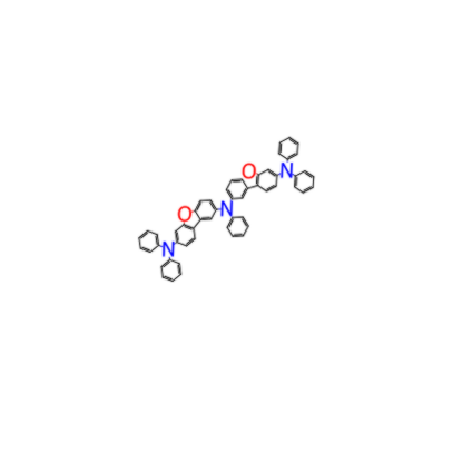 c1ccc(N(c2ccccc2)c2ccc3c(c2)oc2ccc(N(c4ccccc4)c4ccc5oc6cc(N(c7ccccc7)c7ccccc7)ccc6c5c4)cc23)cc1